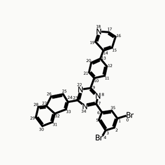 Brc1cc(Br)cc(-c2nc(-c3ccc(-c4cccnc4)cc3)nc(-c3ccc4ccccc4c3)n2)c1